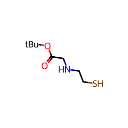 CC(C)(C)OC(=O)CNCCS